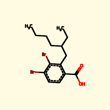 CCCCC(CC)Cc1c(C(=O)O)ccc(Br)c1Br